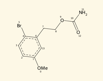 COc1ccc(Br)c(CCOC(N)=O)c1